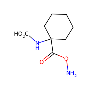 NOC(=O)C1(NC(=O)O)CCCCC1